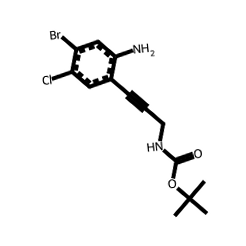 CC(C)(C)OC(=O)NCC#Cc1cc(Cl)c(Br)cc1N